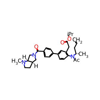 C=CC[C@H](C)N(C(C)=O)c1ccc(-c2ccc(C(=O)N3C[C@H]4CCN(C)[C@H]4C3)cc2)cc1CC(=O)OC(C)C